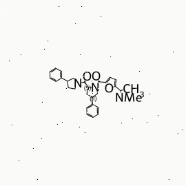 CNC(C)c1ccc(C(=O)N2C[C@@H](c3ccccc3)C[C@H]2C(=O)N2CCC(c3ccccc3)C2)o1